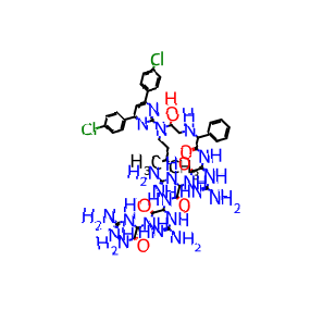 CC(C)CCN(c1nc(-c2ccc(Cl)cc2)cc(-c2ccc(Cl)cc2)n1)C(O)CNC(C(=O)NC(NC(=N)N)C(=O)NC(NC(=N)N)C(=O)NC(NC(=N)N)C(=O)NC(NC(=N)N)C(N)=O)c1ccccc1